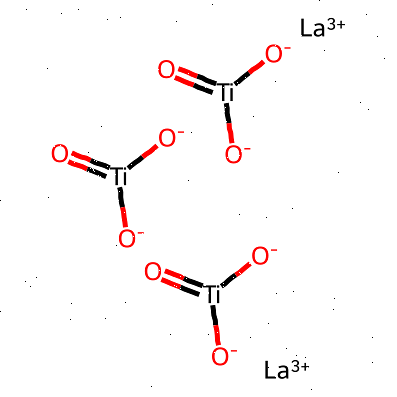 [La+3].[La+3].[O]=[Ti]([O-])[O-].[O]=[Ti]([O-])[O-].[O]=[Ti]([O-])[O-]